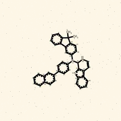 CC1(C)c2ccccc2-c2cc(N(c3ccc(-c4ccc5ccccc5c4)cc3)C3NC=Cc4c3sc3ccccc43)ccc21